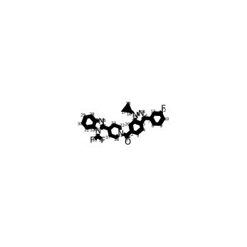 O=C(c1ccc2c(-c3cccc(F)c3)nn(C3CC3)c2c1)N1CCC(c2nc3ccccc3n2C(F)F)CC1